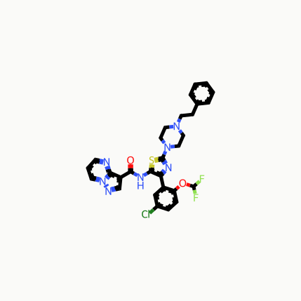 O=C(Nc1sc(N2CCN(CCc3ccccc3)CC2)nc1-c1cc(Cl)ccc1OC(F)F)c1cnn2cccnc12